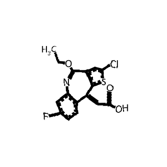 CCOC1=Nc2cc(F)ccc2/C(=C/C(=O)O)c2sc(Cl)cc21